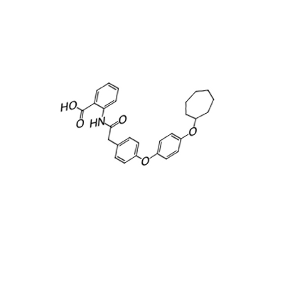 O=C(Cc1ccc(Oc2ccc(OC3CCCCCC3)cc2)cc1)Nc1ccccc1C(=O)O